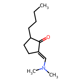 CCCCC1CCC(=CN(C)C)C1=O